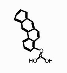 OB(O)Oc1cccc2c1ccc1cc3ccccc3cc12